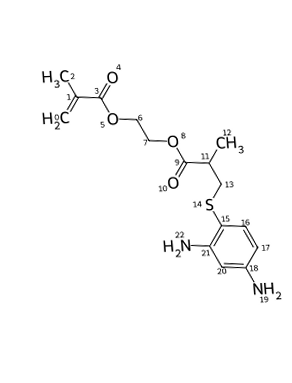 C=C(C)C(=O)OCCOC(=O)C(C)CSc1ccc(N)cc1N